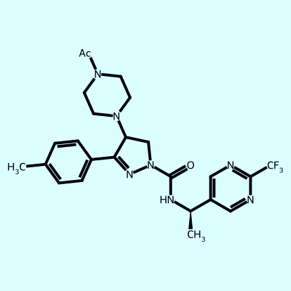 CC(=O)N1CCN(C2CN(C(=O)N[C@H](C)c3cnc(C(F)(F)F)nc3)N=C2c2ccc(C)cc2)CC1